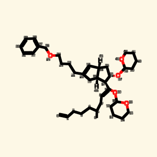 C=CCCCC(C)CC=C(OC1CCCCO1)[C@H]1[C@@H]2CC(CCCCOCc3ccccc3)=C[C@@H]2C[C@@H]1OC1CCCCO1